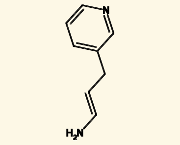 NC=CCc1cccnc1